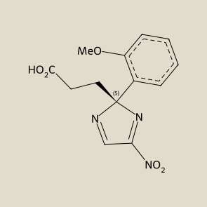 COc1ccccc1[C@@]1(CCC(=O)O)N=CC([N+](=O)[O-])=N1